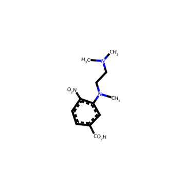 CN(C)CCN(C)c1cc(C(=O)O)ccc1[N+](=O)[O-]